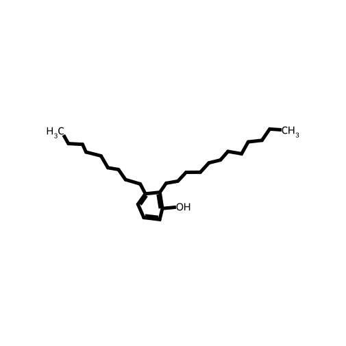 CCCCCCCCCCCCc1c(O)cccc1CCCCCCCCC